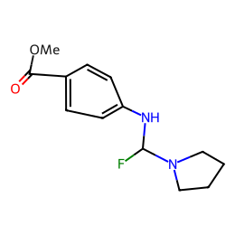 COC(=O)c1ccc(NC(F)N2CCCC2)cc1